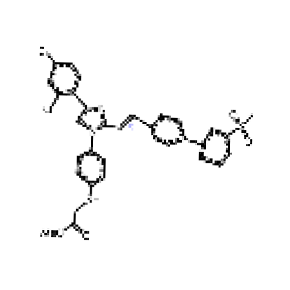 COC(=O)CNc1ccc(-n2cc(-c3ccc(Cl)cc3Cl)nc2/C=C/c2ccc(-c3cccc(S(C)(=O)=O)c3)cc2)cc1